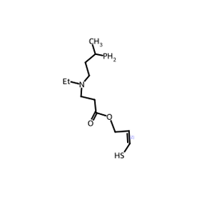 CCN(CCC(=O)OC/C=C\S)CCC(C)P